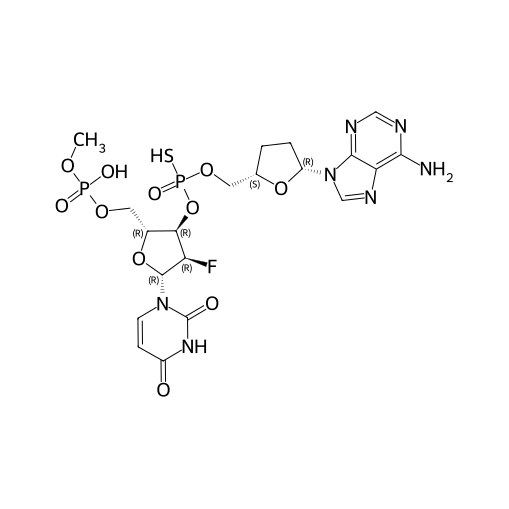 COP(=O)(O)OC[C@H]1O[C@@H](n2ccc(=O)[nH]c2=O)[C@H](F)[C@@H]1OP(=O)(S)OC[C@@H]1CC[C@H](n2cnc3c(N)ncnc32)O1